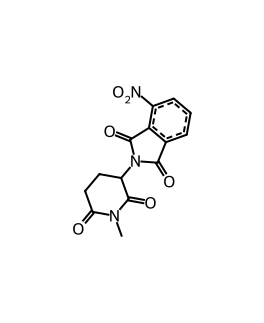 CN1C(=O)CCC(N2C(=O)c3cccc([N+](=O)[O-])c3C2=O)C1=O